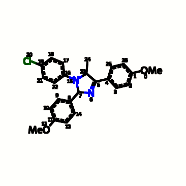 COc1ccc(C2=NC(c3ccc(OC)cc3)N(c3ccc(Cl)cc3)C2C)cc1